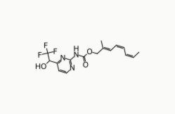 C\C=C/C=C\C=C(/C)COC(=O)Nc1nccc(C(O)C(F)(F)F)n1